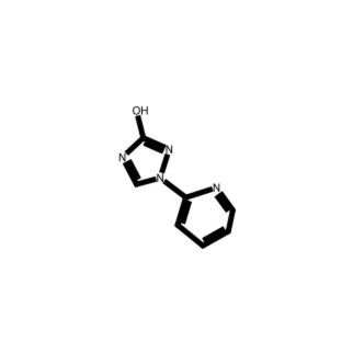 Oc1ncn(-c2ccccn2)n1